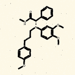 CNC(=O)[C@H](c1ccccc1)N(CCCc1ccc(OC)cc1)c1ccc(OC)c(OC)c1